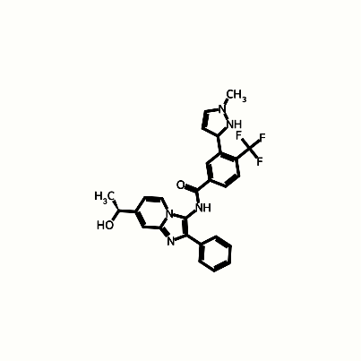 C[C@H](O)c1ccn2c(NC(=O)c3ccc(C(F)(F)F)c(C4C=CN(C)N4)c3)c(-c3ccccc3)nc2c1